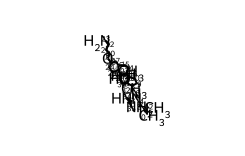 CN(C)CCN(/N=C/C1CC[C@@]2(O)[C@@H]3CCC4CC(OCCCN)CC[C@]4(C)[C@@H]3CC[C@]12C)C(=N)N